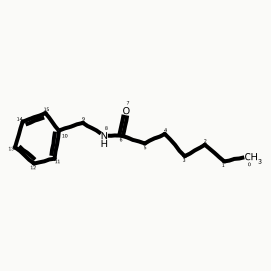 CCCCCCC(=O)NCc1ccccc1